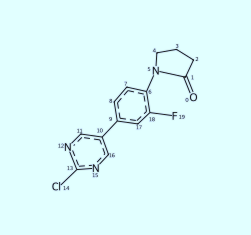 O=C1CCCN1c1ccc(-c2cnc(Cl)nc2)cc1F